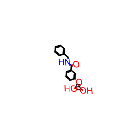 O=C(NCc1ccccc1)c1cccc(OB(O)O)c1